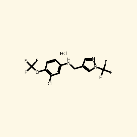 Cl.FC(F)(F)Oc1ccc(NCc2cnn(C(F)(F)F)c2)cc1Cl